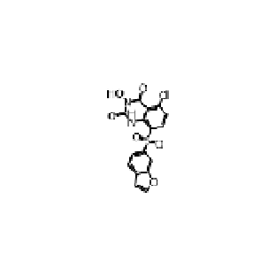 O=c1[nH]c2c(S(=O)(=O)c3ccc4ccoc4c3)ccc(Cl)c2c(=O)n1O